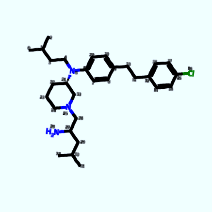 CC(C)CCN(c1ccc(CCc2ccc(Cl)cc2)cc1)[C@H]1CCCN(CC(N)CC(C)C)C1